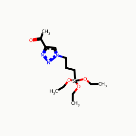 CCO[Si](CCCn1cc(C(C)=O)nn1)(OCC)OCC